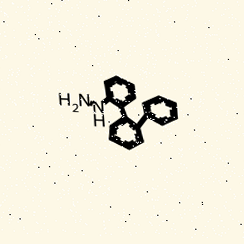 NNc1ccccc1-c1ccccc1-c1ccccc1